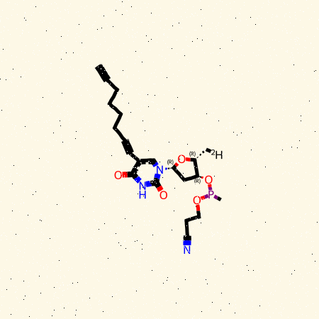 [2H]C[C@H]1O[C@@H](n2cc(C#CCCCCC#C)c(=O)[nH]c2=O)C[C@H]1OP(C)OCCC#N